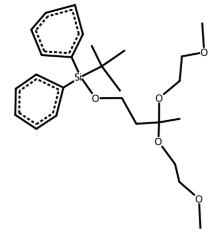 COCCOC(C)(CCO[Si](c1ccccc1)(c1ccccc1)C(C)(C)C)OCCOC